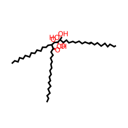 CCCCCCCCC=CCCCCCCCC(=O)C(O)(CO)C(O)C(=O)C(CCCCCCCCCCCCCC)C(=O)CCCCCCCCCCCCCCCCC